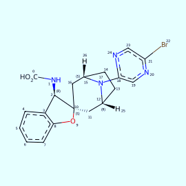 O=C(O)N[C@@H]1c2ccccc2O[C@@]12C[C@H]1CC[C@@H](C2)N1c1cnc(Br)cn1